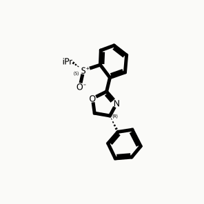 CC(C)[S@@+]([O-])c1ccccc1C1=N[C@H](c2ccccc2)CO1